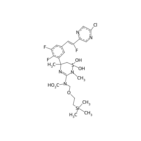 CN1C(N(COCC[Si](C)(C)C)C(=O)O)=NC(C)(c2cc(C=C(F)c3cnc(Cl)cn3)cc(F)c2F)CS1(O)O